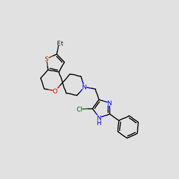 CCc1cc2c(s1)CCOC21CCN(Cc2nc(-c3ccccc3)[nH]c2Cl)CC1